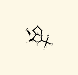 O=C[C@]12CCCN1C(C(Cl)(Cl)Cl)OC2=O